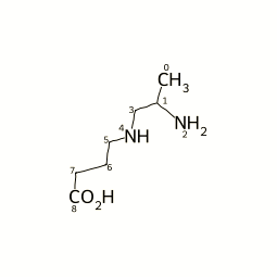 CC(N)CNCCCC(=O)O